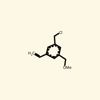 C=Cc1cc(CCl)cc(COC)c1